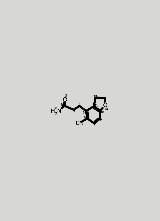 NC(=O)CCc1c(Cl)ccc2c1CCO2